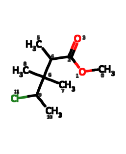 COC(=O)C(C)C(C)(C)C(C)Cl